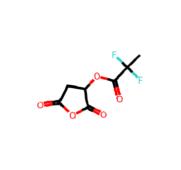 CC(F)(F)C(=O)OC1CC(=O)OC1=O